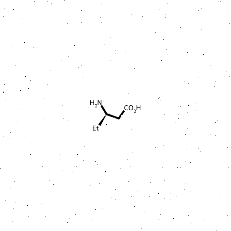 CC[C@@H](N)CC(=O)O